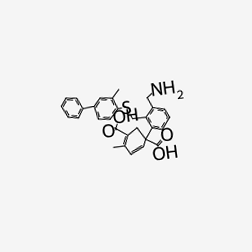 CC1=C(C(=O)O)CC(C(=O)O)(c2cccc(CN)c2CSc2ccc(-c3ccccc3)cc2C)C=C1